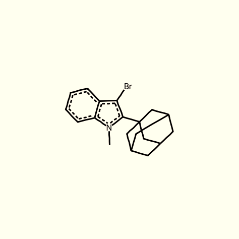 Cn1c(C23CC4CC(CC(C4)C2)C3)c(Br)c2ccccc21